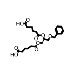 O=C(O)CCCCC(=O)OC[C@H](COCc1ccccc1)OC(=O)CCCCC(=O)O